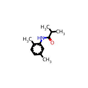 Cc1ccc(C)c(NC(=O)C(C)C)c1